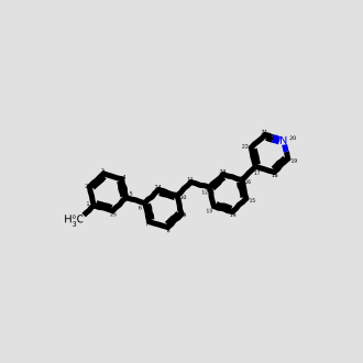 Cc1cccc(-c2cccc(Cc3cccc(-c4ccncc4)c3)c2)c1